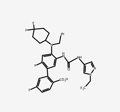 CC(C)CN(c1cc(F)c(-c2cc(F)ccc2C(=O)O)cc1NC(=O)Nc1cnn(CC(F)(F)F)c1)C1CCC(F)(F)CC1